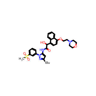 CC(C)(C)c1cc(NC(=O)C(O)c2ccc(OCCN3CCOCC3)c3ccccc23)n(-c2cccc(S(C)(=O)=O)c2)n1